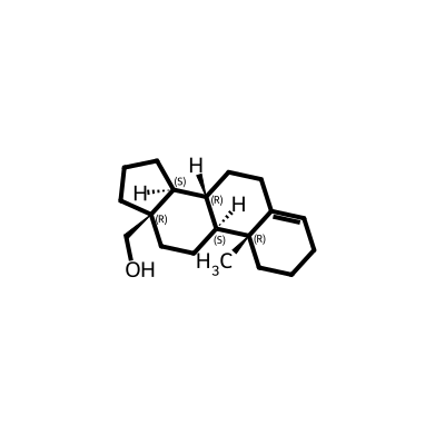 C[C@]12CCCC=C1CC[C@H]1[C@@H]3CCC[C@@]3(CO)CC[C@@H]12